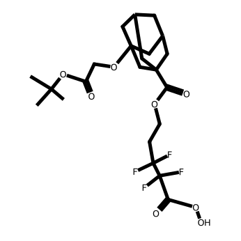 CC(C)(C)OC(=O)COC12CC3CC(C1)CC(C(=O)OCCC(F)(F)C(F)(F)C(=O)OO)(C3)C2